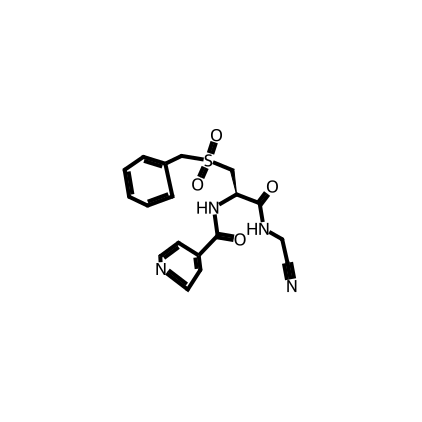 N#CCNC(=O)[C@H](CS(=O)(=O)Cc1ccccc1)NC(=O)c1ccncc1